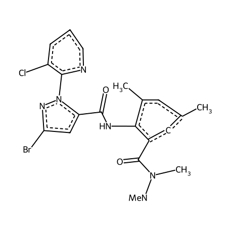 CNN(C)C(=O)c1cc(C)cc(C)c1NC(=O)c1cc(Br)nn1-c1ncccc1Cl